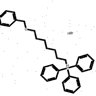 Br.c1ccc(COCCCCCCC[PH](c2ccccc2)(c2ccccc2)c2ccccc2)cc1